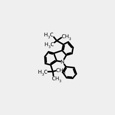 CC(C)(C)c1cccc2c1c1cccc(C(C)(C)C)c1n2-c1ccccc1